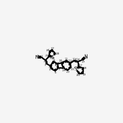 N#CC(=Cc1ccc2c(c1)-c1cc(C=C(C#N)c3cccs3)ccc1-2)c1cccs1